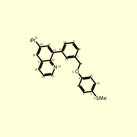 CSc1ccc(OCc2cccc(-c3cc(C(C)C)cc4cccnc34)c2)cc1